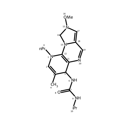 CCCN1C=C(C)C(NC(=O)NC(C)C)C2=C1N1CN(OC)C=C1C=N2